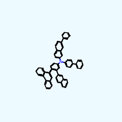 c1ccc(-c2ccc(N(c3ccc(-c4cc5ccccc5c5ccccc45)c(-c4ccc5ccccc5c4)c3)c3ccc4ccc(-c5ccccc5)cc4c3)cc2)cc1